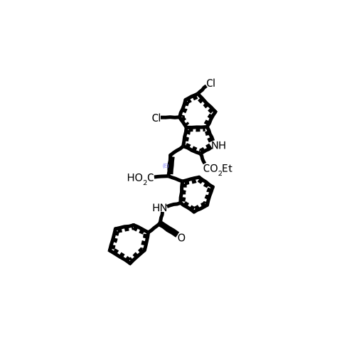 CCOC(=O)c1[nH]c2cc(Cl)cc(Cl)c2c1/C=C(/C(=O)O)c1ccccc1NC(=O)c1ccccc1